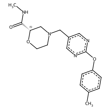 CNC(=O)[C@@H]1CN(Cc2cnc(Oc3ccc(C)cc3)nc2)CCO1